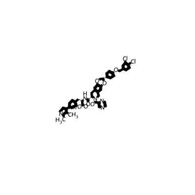 COC(=O)[C@H](Cc1ccc(-c2ccnc(C)c2C)cc1)NC(=O)[C@@H]1Cc2cc3c(cc2CN1C(=O)c1cnccn1)O[C@@H](c1ccc(OCc2ccc(Cl)c(Cl)c2)cc1)CO3